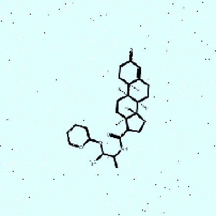 CC(NC(=O)C1CC[C@H]2[C@@H]3CCC4=CC(=O)CC[C@]4(C)[C@@H]3CC[C@]12C)C(OC1CCCCO1)C(F)(F)F